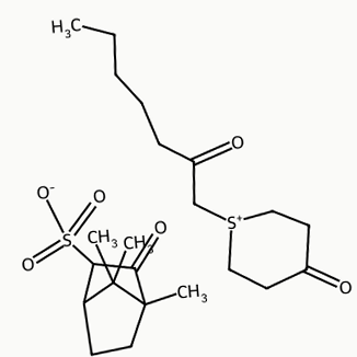 CC12CCC(C(S(=O)(=O)[O-])C1=O)C2(C)C.CCCCCC(=O)C[S+]1CCC(=O)CC1